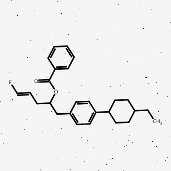 CCC1CCC(c2ccc(CC(C/C=C/F)OC(=O)c3ccccc3)cc2)CC1